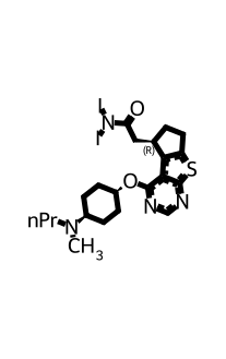 CCCN(C)[C@H]1CC[C@H](Oc2ncnc3sc4c(c23)[C@@H](CC(=O)N(I)I)CC4)CC1